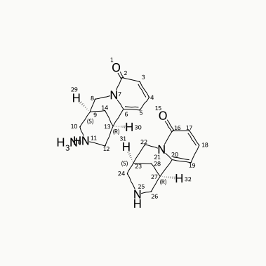 N.O=c1cccc2n1C[C@@H]1CNC[C@H]2C1.O=c1cccc2n1C[C@@H]1CNC[C@H]2C1